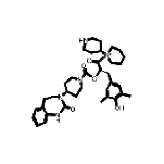 Cc1cc(C[C@@H](OC(=O)N2CCC(N3CCc4ccccc4NC3=O)CC2)C(=O)[N+]2(C3CCNCC3)CCCCC2)cc(C)c1O